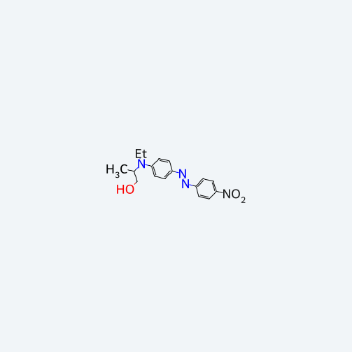 CCN(c1ccc(/N=N/c2ccc([N+](=O)[O-])cc2)cc1)C(C)CO